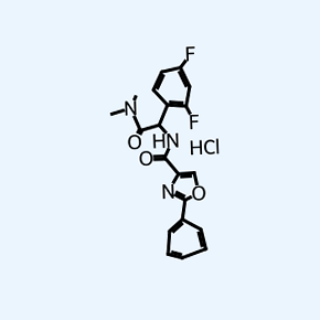 CN(C)C(=O)C(NC(=O)c1coc(-c2ccccc2)n1)c1ccc(F)cc1F.Cl